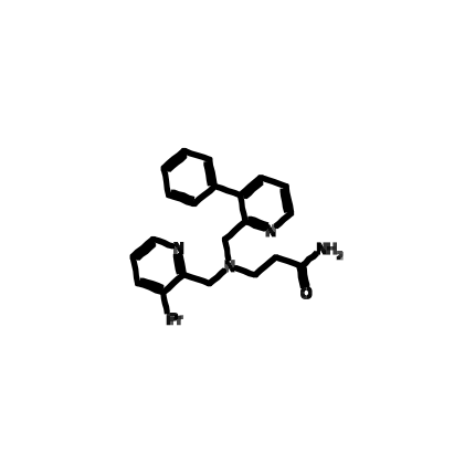 CC(C)c1cccnc1CN(CCC(N)=O)Cc1ncccc1-c1ccccc1